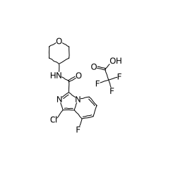 O=C(NC1CCOCC1)c1nc(Cl)c2c(F)cccn12.O=C(O)C(F)(F)F